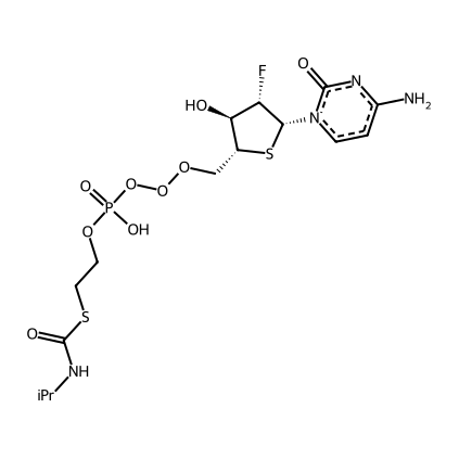 CC(C)NC(=O)SCCOP(=O)(O)OOOC[C@H]1S[C@@H](n2ccc(N)nc2=O)[C@@H](F)[C@@H]1O